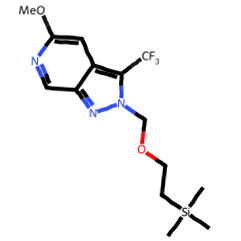 COc1cc2c(C(F)(F)F)n(COCC[Si](C)(C)C)nc2cn1